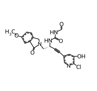 COc1ccc2c(c1)C(=O)N(C[C@@H](C#Cc1cnc(Cl)c(O)c1)NC(=O)NC=O)C2